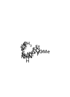 CCc1cc(OC)c(F)c(COc2cnc(Nc3cnn(CCCN4CCN(C)CC4)c3)nc2)c1F